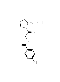 O=C(NCC(=O)N1CCC[C@H]1C(=O)O)c1ccc(Cl)cc1